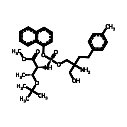 COC(=O)[C@@H](NP(=O)(OCC(N)(CO)CCc1ccc(C)cc1)Oc1cccc2ccccc12)[C@@H](C)OC(C)(C)C